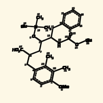 COc1ccc(CC(CC(O[Si](C)(C)C(C)(C)C)C(Cc2ccccc2)NC(=O)OC(C)(C)C)C(=O)O)c(C)c1C